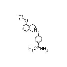 C[C@H](N)c1ccc(CN2CCc3c(cccc3OC3CCC3)C2)cc1